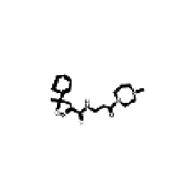 CN1CCCN(C(=O)CCNC(=O)C2=NOC(C)(c3ccccc3)C2)CC1